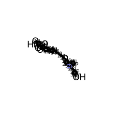 O=C1CCC(N2C(=O)c3ccc(N4CCN(CCCCCCOc5ccc(/C=C(/CCc6ccc(O)cc6)c6ccccc6)cc5)CC4)cc3C2=O)C(=O)N1